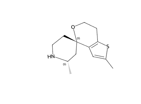 Cc1cc2c(s1)CCO[C@]21CCN[C@@H](C)C1